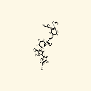 COc1ccc(/C=C/C(=O)c2cccc(-n3cc(-c4ccc(C)o4)[nH]c3=O)c2)cc1OC